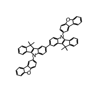 CC1(C)c2ccccc2-c2c1c1cc(-c3ccc4c(c3)c3c(n4-c4ccc5oc6ccccc6c5c4)-c4ccccc4C3(C)C)ccc1n2-c1ccc2oc3ccccc3c2c1